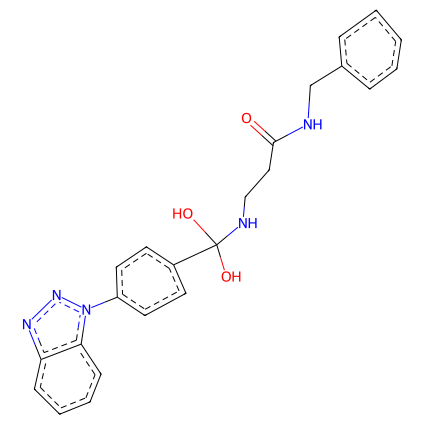 O=C(CCNC(O)(O)c1ccc(-n2nnc3ccccc32)cc1)NCc1ccccc1